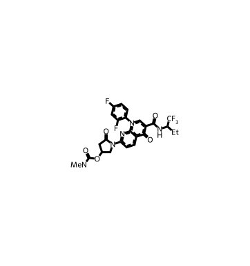 CCC(NC(=O)c1cn(-c2ccc(F)cc2F)c2nc(N3CC(OC(=O)NC)CC3=O)ccc2c1=O)C(F)(F)F